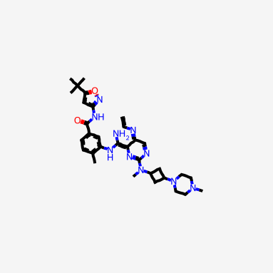 C=C/N=C1/C=NC(N(C)C2CC(N3CCN(C)CC3)C2)=N/C1=C(/N)Nc1cc(C(=O)Nc2cc(C(C)(C)C)on2)ccc1C